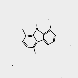 Cc1ccc(C)c2c1c1cccc(C)c1n2C